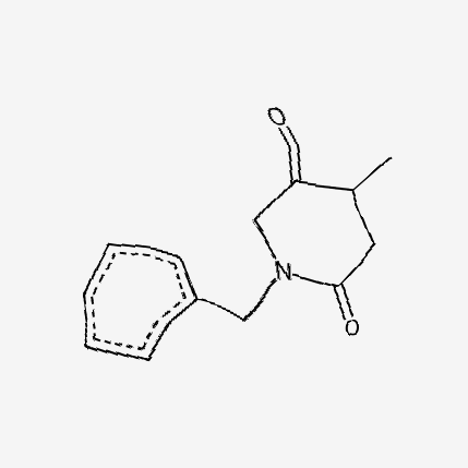 CC1CC(=O)N(Cc2ccccc2)CC1=O